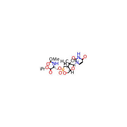 COC(=O)N[C@H](COP1(=O)C[C@@H]2[C@@H](CO1)O[C@@H](n1ccc(=O)[nH]c1=O)[C@]2(C)C#N)C(=O)OC(C)C